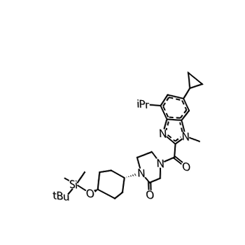 CC(C)c1cc(C2CC2)cc2c1nc(C(=O)N1CCN([C@H]3CC[C@H](O[Si](C)(C)C(C)(C)C)CC3)C(=O)C1)n2C